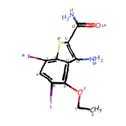 CCOc1c(I)cc(I)c2sc(C(N)=O)c(N)c12